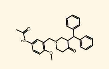 COc1ccc(NC(C)=O)cc1CN1CCC(=O)C(C(c2ccccc2)c2ccccc2)C1